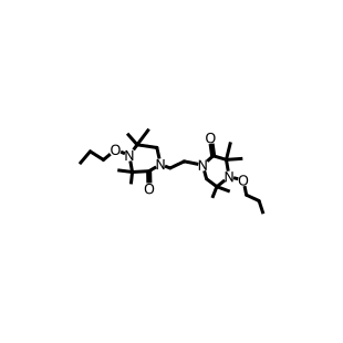 CCCON1C(C)(C)CN(CCN2CC(C)(C)N(OCCC)C(C)(C)C2=O)C(=O)C1(C)C